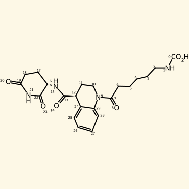 O=C(O)NCCCCCC(=O)N1CC[C@H](C(=O)N[C@H]2CCC(=O)NC2=O)c2ccccc21